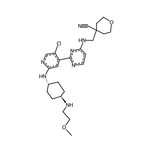 COCCN[C@H]1CC[C@H](Nc2cc(-c3nccc(NCC4(C#N)CCOCC4)n3)c(Cl)cn2)CC1